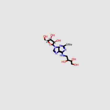 CSc1nc(NCC(O)C(O)CO)c2ncn(C3O[C@H](CO)[C@@H](O)[C@H]3O)c2n1